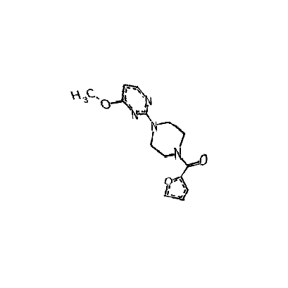 COc1ccnc(N2CCN(C(=O)c3ccco3)CC2)n1